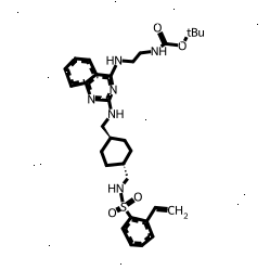 C=Cc1ccccc1S(=O)(=O)NC[C@H]1CC[C@H](CNc2nc(NCCNC(=O)OC(C)(C)C)c3ccccc3n2)CC1